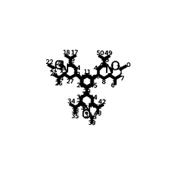 CCON1C(C(C)C)CC(c2cc(C3CC(C(C)C)N(OCC)C(C(C)C)C3)cc(C3CC(C(C)C)N(OCC)C(C(C)C)C3)c2)CC1C(C)C